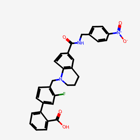 O=C(NCc1ccc([N+](=O)[O-])cc1)c1ccc2c(c1)CCCN2Cc1ccc(-c2ccccc2C(=O)O)cc1F